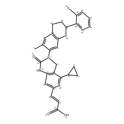 Cc1cc2c(cc1N1Cc3c(cc(/C=C/C(=O)O)nc3C3CC3)NC1=O)OC(c1ncccc1F)CC2